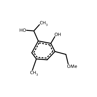 COCc1cc(C)cc(C(C)O)c1O